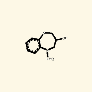 O=CN1CC(O)CSc2ccccc21